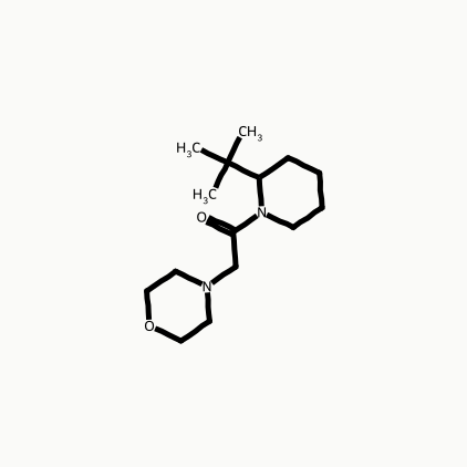 CC(C)(C)C1CCCCN1C(=O)CN1CCOCC1